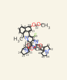 CCc1cccc2cc(OCOC)cc(-c3ncc4c(C5=CC6CCC(C5)N6C(=O)OC(C)(C)C)nc(OCC56CCCN5CCC6)nc4c3F)c12